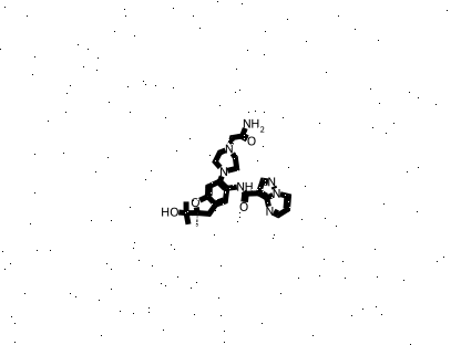 CC(C)(O)[C@]1(C)Cc2cc(NC(=O)c3cnn4cccnc34)c(N3CCN(CC(N)=O)CC3)cc2O1